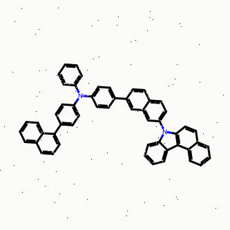 c1ccc(N(c2ccc(-c3ccc4ccc(-n5c6ccccc6c6c7ccccc7ccc65)cc4c3)cc2)c2ccc(-c3cccc4ccccc34)cc2)cc1